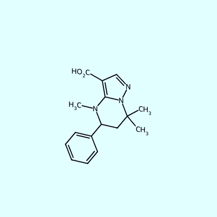 CN1c2c(C(=O)O)cnn2C(C)(C)CC1c1ccccc1